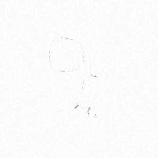 C=C(CCSC(=C)C(=O)OC)OC1CCCCCCCCCCC1